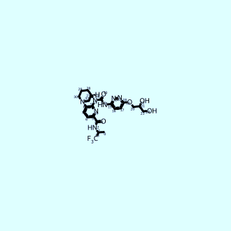 CC(NC(=O)c1ccc2c(n1)N(C(=O)Nc1ccc(OCC(O)CO)nn1)[C@H]1CCCN2C1)C(F)(F)F